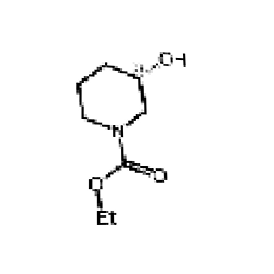 CCOC(=O)N1CCC[C@H](O)C1